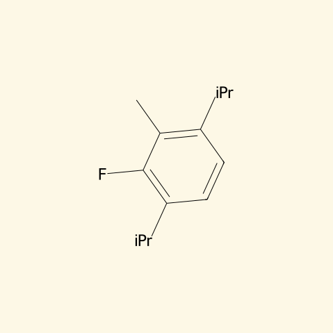 Cc1c(C(C)C)ccc(C(C)C)c1F